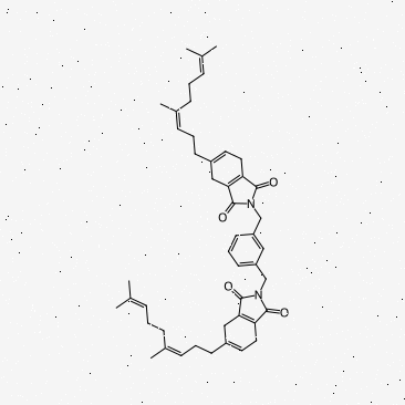 CC(C)=CCCC(C)=CCCC1=CCC2=C(C1)C(=O)N(Cc1cccc(CN3C(=O)C4=C(CC(CCC=C(C)CCC=C(C)C)=CC4)C3=O)c1)C2=O